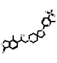 Cc1nc(N2CCC3(CCN(CC(O)c4ccc5c(c4C)COC5=O)CC3)C2)ccc1S(C)(=O)=O